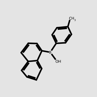 Cc1ccc(B(O)c2cccc3ccccc23)cc1